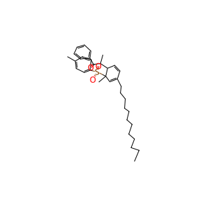 CCCCCCCCCCCCC1=CC(C)(S(=O)(=O)c2ccc(C)cc2)C(C(C)C(=O)c2ccccc2)C=C1